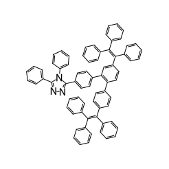 c1ccc(C(=C(c2ccccc2)c2ccc(-c3ccc(C(=C(c4ccccc4)c4ccccc4)c4ccccc4)cc3-c3ccc(-c4nnc(-c5ccccc5)n4-c4ccccc4)cc3)cc2)c2ccccc2)cc1